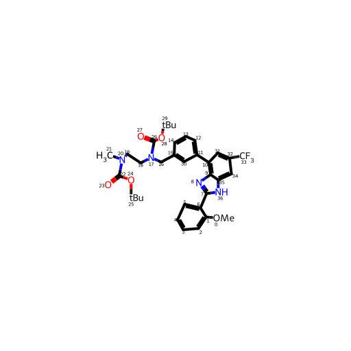 COc1ccccc1-c1nc2c(-c3cccc(CN(CCN(C)C(=O)OC(C)(C)C)C(=O)OC(C)(C)C)c3)cc(C(F)(F)F)cc2[nH]1